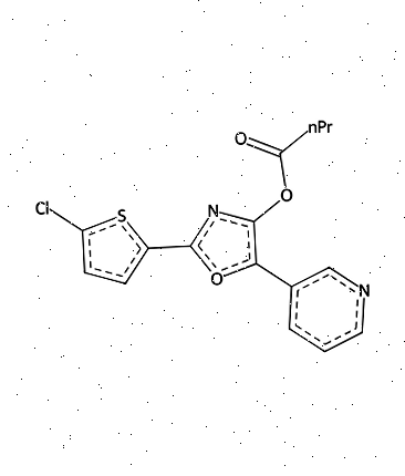 CCCC(=O)Oc1nc(-c2ccc(Cl)s2)oc1-c1cccnc1